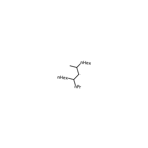 CCCCCCC(C)[CH]C(CCC)CCCCCC